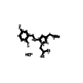 CCC(CC)Cn1nc(CNC)cc1OCc1cc(F)ccc1F.Cl